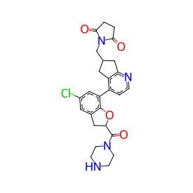 O=C(C1Cc2cc(Cl)cc(-c3ccnc4c3CC(CN3C(=O)CCC3=O)C4)c2O1)N1CCNCC1